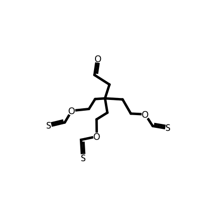 O=CCC(CCOC=S)(CCOC=S)CCOC=S